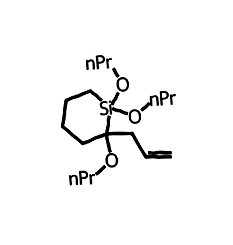 C=CCC1(OCCC)CCCC[Si]1(OCCC)OCCC